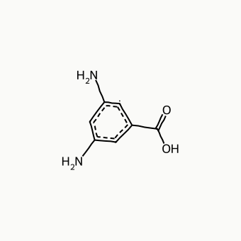 Nc1[c]c(C(=O)O)cc(N)c1